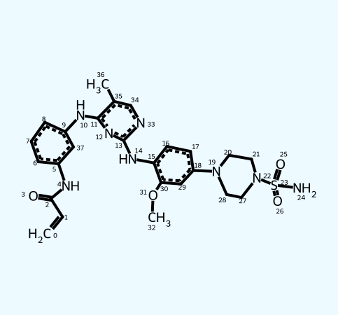 C=CC(=O)Nc1cccc(Nc2nc(Nc3ccc(N4CCN(S(N)(=O)=O)CC4)cc3OC)ncc2C)c1